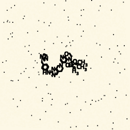 Cc1c(N2CCc3cnc(Nc4ccc(Cn5nccn5)cc4)nc3C2)cnc2c1N(C(=O)OC(C)(C)C)CCO2